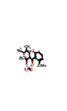 COc1cccc(OC)c1C(=O)C(CC(C)CC(C)(C)C)C(=O)OCC(C)C.O=[PH3]